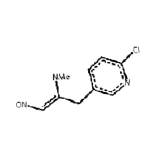 CN/C(=C\N=O)Cc1ccc(Cl)nc1